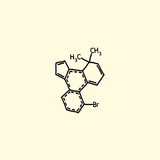 CC1(C)C=CC=c2c1c1c(c3cccc(Br)c23)=CC=C1